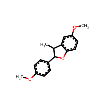 COc1ccc(C2Oc3ccc(OC)cc3C2C)cc1